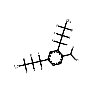 CC(C)C([O])c1ccc(C(F)(F)C(F)(F)C(F)(F)C(F)(F)F)cc1C(F)(F)C(F)(F)C(F)(F)C(F)(F)F